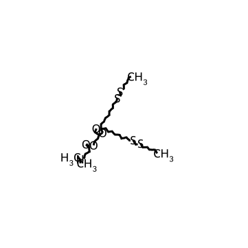 CCCCCSCSCCCCCCCCC1(CCCCCCCCSCSCCCCC)OCC(CCOC(=O)CCCN(C)C)O1